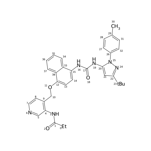 CCC(=O)Nc1cnccc1COc1ccc(NC(=O)Nc2cc(C(C)(C)C)nn2-c2ccc(C)cc2)c2ccccc12